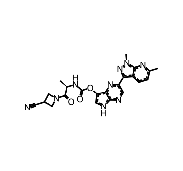 Cc1ccc2c(-c3cnc4[nH]cc(OC(=O)N[C@H](C)C(=O)N5CC(C#N)C5)c4n3)nn(C)c2n1